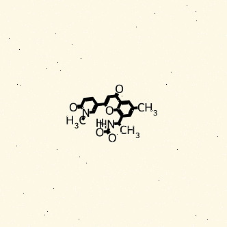 Cc1cc(C(C)NC(=O)O)c2oc(-c3ccc(=O)n(C)c3)cc(=O)c2c1